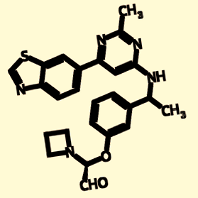 Cc1nc(NC(C)c2cccc(O[C@@H](C=O)N3CCC3)c2)cc(-c2ccc3ncsc3c2)n1